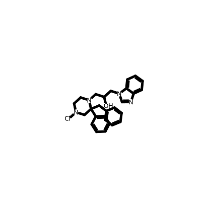 OC(CN1CCN(Cl)CC1(Cc1ccccc1)c1ccccc1)Cn1cnc2ccccc21